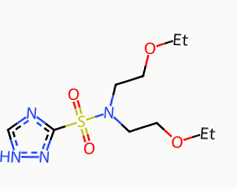 CCOCCN(CCOCC)S(=O)(=O)c1nc[nH]n1